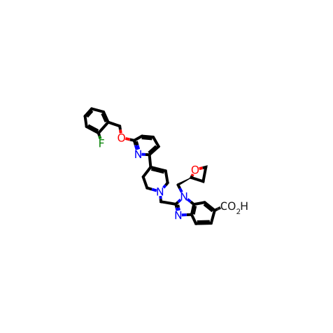 O=C(O)c1ccc2nc(CN3CC=C(c4cccc(OCc5ccccc5F)n4)CC3)n(C[C@@H]3CCO3)c2c1